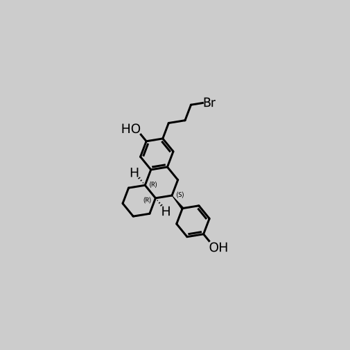 OC1=CCC([C@@H]2Cc3cc(CCCBr)c(O)cc3[C@@H]3CCCC[C@@H]32)C=C1